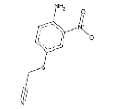 N#CCSc1ccc(N)c([N+](=O)[O-])c1